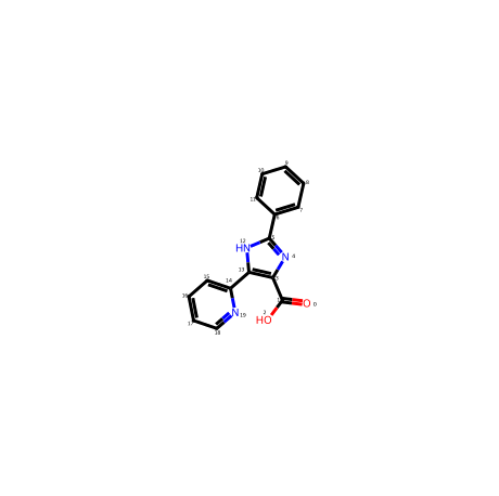 O=C(O)c1nc(-c2ccccc2)[nH]c1-c1ccccn1